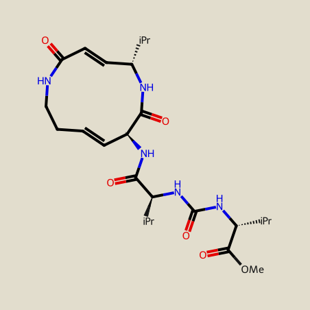 COC(=O)[C@H](NC(=O)N[C@H](C(=O)N[C@H]1/C=C/CCNC(=O)/C=C/[C@H](C(C)C)NC1=O)C(C)C)C(C)C